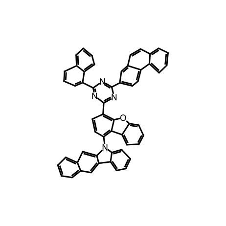 c1ccc2cc3c(cc2c1)c1ccccc1n3-c1ccc(-c2nc(-c3ccc4c(ccc5ccccc54)c3)nc(-c3cccc4ccccc34)n2)c2oc3ccccc3c12